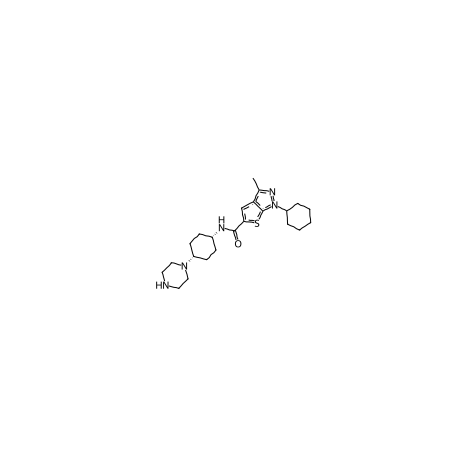 Cc1nn(C2CCCCC2)c2sc(C(=O)N[C@H]3CC[C@@H](N4CCNCC4)CC3)cc12